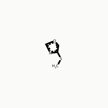 CSc1cocn1